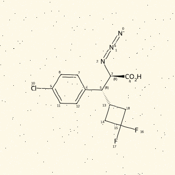 [N-]=[N+]=N[C@@H](C(=O)O)[C@@H](c1ccc(Cl)cc1)C1CC(F)(F)C1